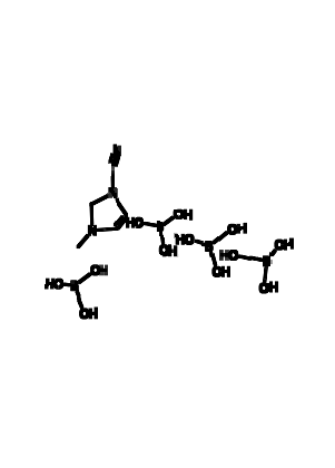 CN1C=CN(C#N)C1.OB(O)O.OB(O)O.OB(O)O.OB(O)O